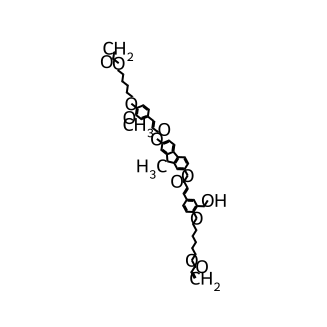 C=CC(=O)OCCCCCCOc1ccc(C=CC(=O)Oc2ccc3c(c2)C(C)c2cc(OC(=O)C=Cc4ccc(OCCCCCCOC(=O)C=C)c(OC)c4)ccc2-3)cc1CO